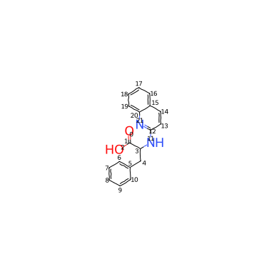 O=C(O)C(Cc1ccccc1)Nc1ccc2ccccc2n1